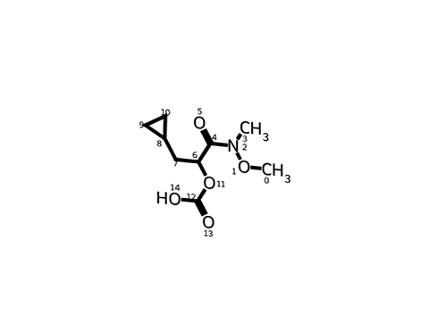 CON(C)C(=O)C(CC1CC1)OC(=O)O